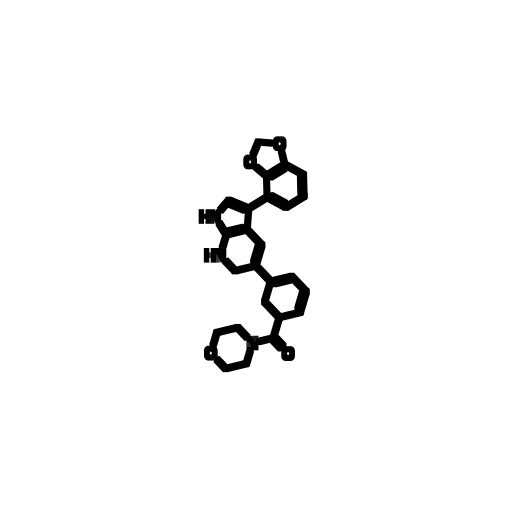 O=C(C1C=CC=C(C2=Cc3c(-c4cccc5c4OCO5)c[nH]c3NC2)C1)N1CCOCC1